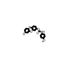 COc1ccc(NC(=O)Oc2ccc3nc4ccc(=O)cc-4oc3c2)cc1